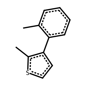 Cc1ccccc1-c1ccsc1C